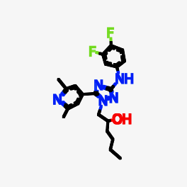 CCCCC(O)Cn1nc(Nc2ccc(F)c(F)c2)nc1-c1cc(C)nc(C)c1